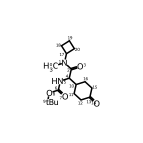 CN(C(=O)C(NC(=O)OC(C)(C)C)C1CCC(=O)CC1)C1CCC1